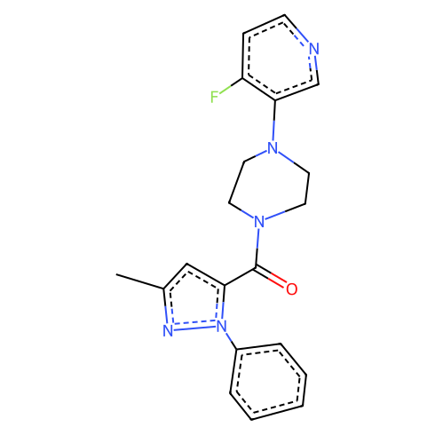 Cc1cc(C(=O)N2CCN(c3cnccc3F)CC2)n(-c2ccccc2)n1